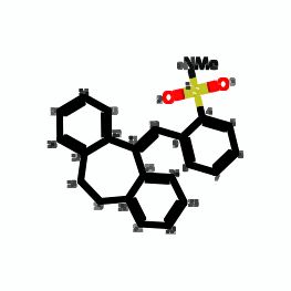 CNS(=O)(=O)c1ccccc1C=C1c2ccccc2CCc2ccccc21